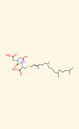 C/C(=C\CSCC(NC(=O)N(CC(=O)O)CC(=O)O)C(=O)O)CCCC(C)CCCC(C)CCCC(C)C